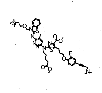 COC(=O)CCCCN(c1cc(C)c(/N=c2\sc3ccccc3n2COCC[Si](C)(C)C)nn1)c1nc(C(=O)OC)c(CCCOc2ccc(C#CCN(C)C)cc2F)s1